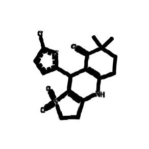 CC1(C)CCC2=C(C1=O)C(c1ccc(Cl)s1)C1=C(CCS1(=O)=O)N2